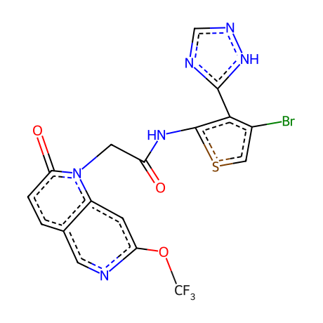 O=C(Cn1c(=O)ccc2cnc(OC(F)(F)F)cc21)Nc1scc(Br)c1-c1ncn[nH]1